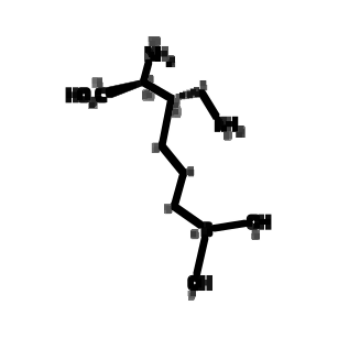 NC[C@H](CCCB(O)O)[C@H](N)C(=O)O